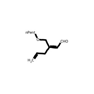 C=CCC(=CC=O)COCCCCC